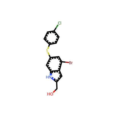 OCc1cc2c(Br)cc(Sc3ccc(Cl)cc3)cc2[nH]1